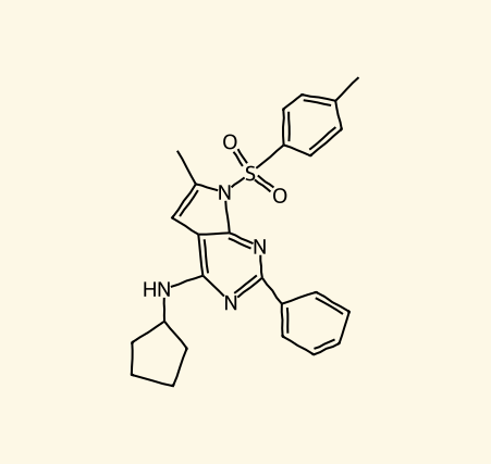 Cc1ccc(S(=O)(=O)n2c(C)cc3c(NC4CCCC4)nc(-c4ccccc4)nc32)cc1